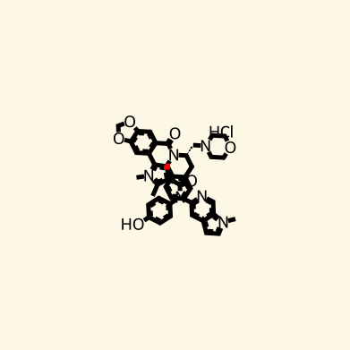 Cc1c(C(=O)N(c2ccc(O)cc2)c2cc3ccn(C)c3cn2)cc(-c2cc3c(cc2C(=O)N2Cc4ccccc4C[C@H]2CN2CCOCC2)OCO3)n1C.Cl